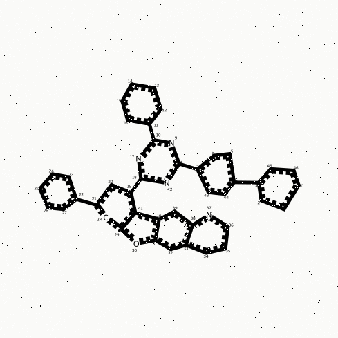 c1ccc(-c2ccc(-c3nc(-c4ccccc4)nc(-c4cc(-c5ccccc5)cc5oc6cc7cccnc7cc6c45)n3)cc2)cc1